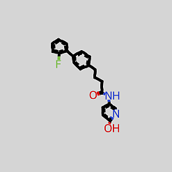 O=C(CCCc1ccc(-c2ccccc2F)cc1)Nc1ccc(O)nc1